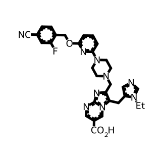 CCn1cncc1Cc1c(CN2CCN(c3cccc(OCc4ccc(C#N)cc4F)n3)CC2)nc2ncc(C(=O)O)cn12